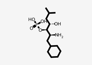 CC(C)C[C@H](O)[C@H](OP(=O)(O)O)[C@@H](N)CC1CCCCC1